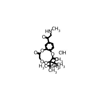 CNCC(=O)c1ccc2c(c1)OC(=O)COOC(C(C)(C)C)(C(C)(C)C)C(=O)O2.Cl